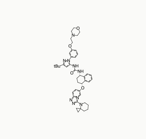 CC(C)(C)c1cc(NC(=O)N[C@H]2CC[C@@H](Oc3ccc4nnc(N5CCCCC56CC6)n4c3)c3ccccc32)n(-c2cccc(OCCN3CCOCC3)c2)n1